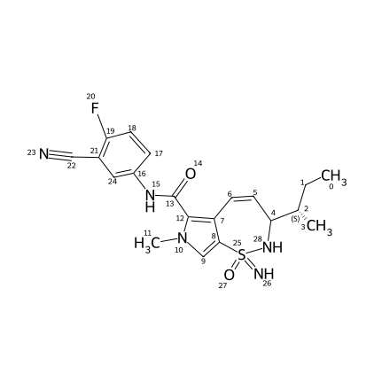 CC[C@H](C)C1C=Cc2c(cn(C)c2C(=O)Nc2ccc(F)c(C#N)c2)S(=N)(=O)N1